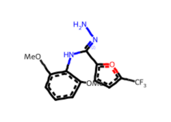 COc1cccc(OC)c1N/C(=N\N)c1ccc(C(F)(F)F)o1